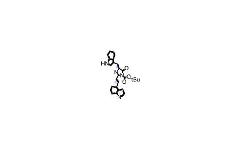 CC(C)(C)OC(=O)N1C(=O)/C(=C/c2c[nH]c3ccccc23)N=C1/C=C/c1cccc2ncccc12